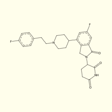 O=C1CCC(N2Cc3c(cc(F)cc3C3CCN(CCc4ccc(F)cc4)CC3)C2=O)C(=O)N1